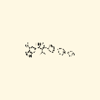 COc1cc(-c2[nH]nc(-c3ccc(N4CCN(C5COC5)CC4)cn3)c2C(C)C)cn2ncnc12